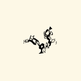 O=C1c2sc(-c3nc(Nc4ccc(N5CCNC(CO)C5)cc4C4CC4)ncc3C(F)(F)F)cc2S(=O)(=O)CCN1C1CC1